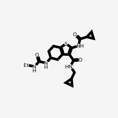 CCNC(=O)NC1CCc2sc(NC(=O)C3CC3)c(C(=O)NCC3CC3)c2C1